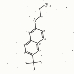 CC(C)(C)c1ccc2cc(OCCN)ccc2c1